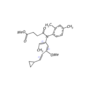 C\C=C(/C=C(\C=C\C1CC1)OC)N(C(=O)CCC(=O)OC)c1ccc(C)cc1C